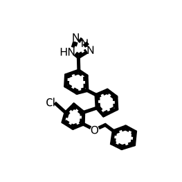 Clc1ccc(OCc2ccccc2)c(-c2ccccc2-c2cccc(-c3nnn[nH]3)c2)c1